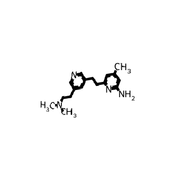 Cc1cc(N)nc(CCc2cncc(CCN(C)C)c2)c1